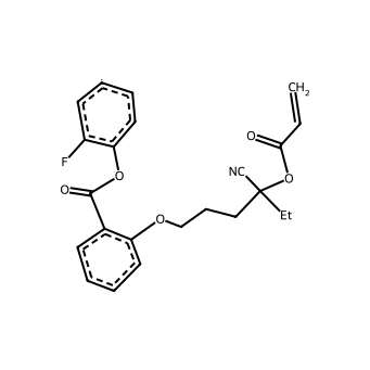 C=CC(=O)OC(C#N)(CC)CCCOc1ccccc1C(=O)Oc1cc[c]cc1F